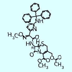 CON=C(C(=O)N[C@@H]1C(=O)N2C(C(=O)OC)=C(COC(C)=O)CS[C@@H]12)c1csc(NC(c2ccccc2)(c2ccccc2)c2ccccc2)n1